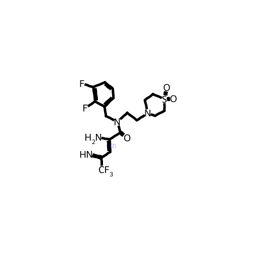 N=C(/C=C(\N)C(=O)N(CCN1CCS(=O)(=O)CC1)Cc1cccc(F)c1F)C(F)(F)F